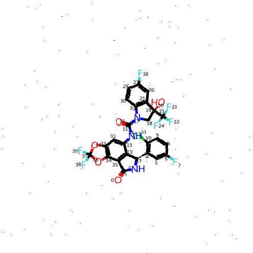 O=C1N[C@H](c2cc(F)ccc2Cl)c2c(NC(=O)N3C[C@@](O)(C(F)(F)F)c4cc(F)ccc43)cc3c(c21)OC(F)(F)O3